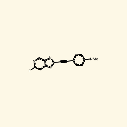 CNc1ccc(C#Cc2nc3cnc(F)cc3s2)cc1